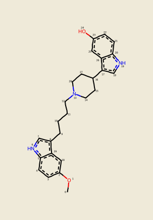 COc1ccc2[nH]cc(CCCCN3CCC(c4c[nH]c5ccc(O)cc45)CC3)c2c1